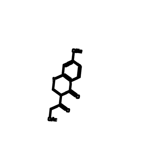 COc1ccc2c(c1)SCC(C(=O)COC(C)=O)C2=O